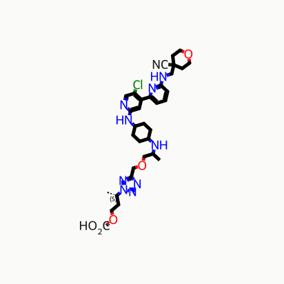 CC(COCc1nnn([C@@H](C)CCOC(=O)O)n1)NC1CCC(Nc2cc(-c3cccc(NCC4(C#N)CCOCC4)n3)c(Cl)cn2)CC1